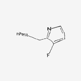 CCCCCCc1ncccc1F